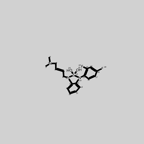 CN(C)CC=CCN1c2ccccc2N(c2ccc(F)cc2F)S1(O)O